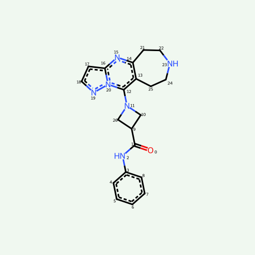 O=C(Nc1ccccc1)C1CN(c2c3c(nc4ccnn24)CCNCC3)C1